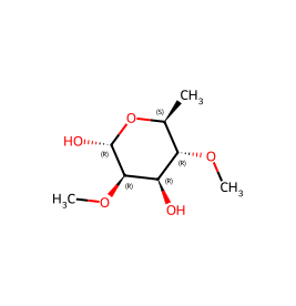 CO[C@@H]1[C@@H](O)[C@@H](OC)[C@H](O)O[C@H]1C